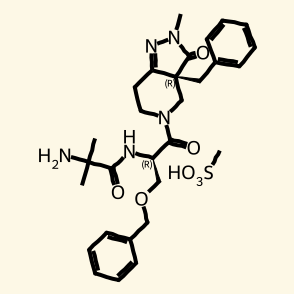 CN1N=C2CCN(C(=O)[C@@H](COCc3ccccc3)NC(=O)C(C)(C)N)C[C@@]2(Cc2ccccc2)C1=O.CS(=O)(=O)O